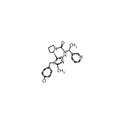 Cc1nnc([C@H]2CCCN2C(=O)N[C@@H](C)c2cccnc2)n1Cc1ccc(Cl)cc1